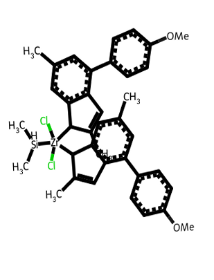 COc1ccc(-c2cc(C)cc3c2C=C(C)[CH]3[Zr]([Cl])([Cl])([CH]2C(C)=Cc3c(-c4ccc(OC)cc4)cc(C)cc32)[SiH](C)C)cc1